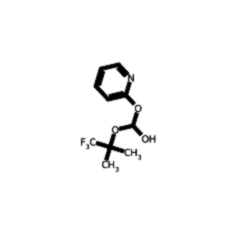 CC(C)(OC(O)Oc1ccccn1)C(F)(F)F